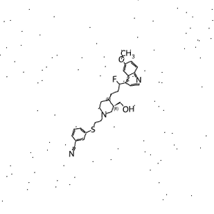 COc1ccc2nccc(C(F)CC[C@@H]3CCN(CCSc4cccc(C#N)c4)C[C@@H]3CO)c2c1